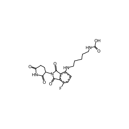 O=C(O)NCCCCCNc1ccc(F)c2c1C(=O)N(C1CCC(=O)NC1=O)C2=O